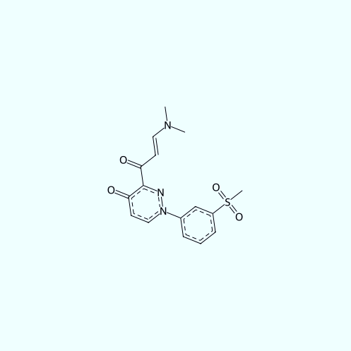 CN(C)C=CC(=O)c1nn(-c2cccc(S(C)(=O)=O)c2)ccc1=O